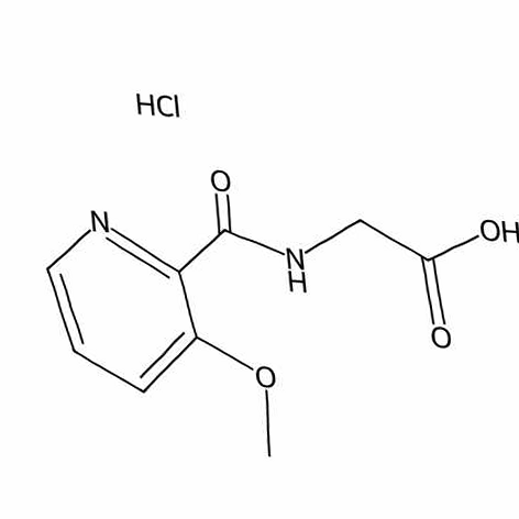 COc1cccnc1C(=O)NCC(=O)O.Cl